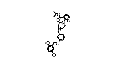 COc1ccc(OC)c(COc2cccc(CN3CCN(c4ncccc4C(=O)OC(C)C)CC3)c2)c1